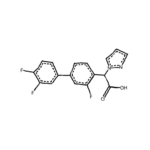 O=C(O)C(c1ccc(-c2ccc(F)c(F)c2)cc1F)n1cccn1